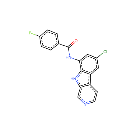 O=C(Nc1cc(Cl)cc2c1[nH]c1cnccc12)c1ccc(F)cc1